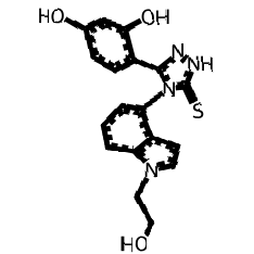 OCCn1ccc2c(-n3c(-c4ccc(O)cc4O)n[nH]c3=S)cccc21